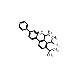 CC(C)c1ccc(-c2ccc(-c3ccccc3)cc2)c(C(C)C)c1C(C)C